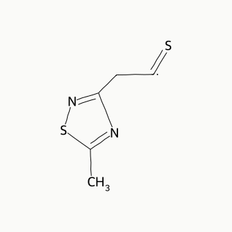 Cc1nc(C[C]=S)ns1